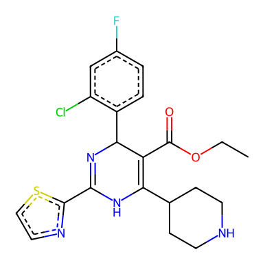 CCOC(=O)C1=C(C2CCNCC2)NC(c2nccs2)=NC1c1ccc(F)cc1Cl